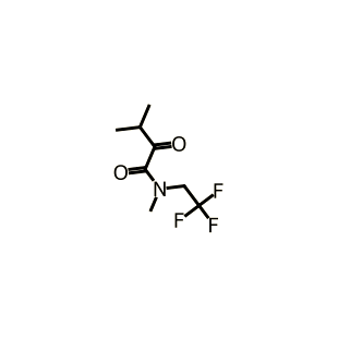 CC(C)C(=O)C(=O)N(C)CC(F)(F)F